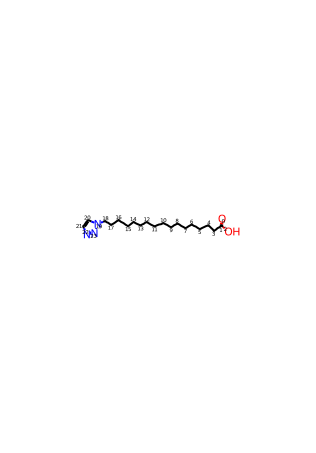 O=C(O)CCCCCCCCCCCCCCCCn1ccnn1